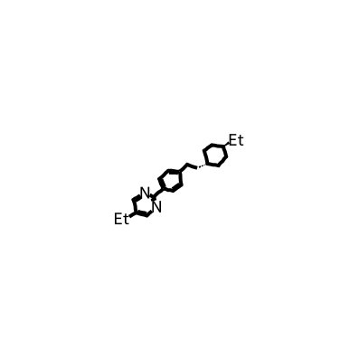 CCc1cnc(-c2ccc(CC[C@H]3CC[C@H](CC)CC3)cc2)nc1